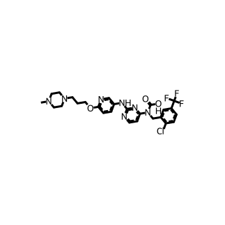 CN1CCN(CCCOc2ccc(Nc3nccc(N(Cc4cc(C(F)(F)F)ccc4Cl)C(=O)O)n3)cn2)CC1